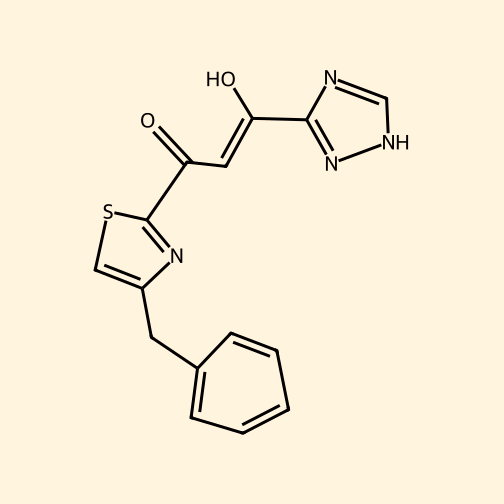 O=C(C=C(O)c1nc[nH]n1)c1nc(Cc2ccccc2)cs1